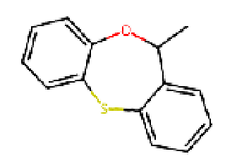 CC1Oc2ccccc2Sc2ccccc21